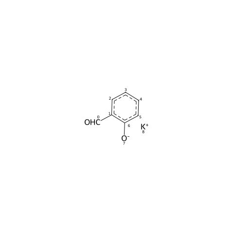 O=Cc1ccccc1[O-].[K+]